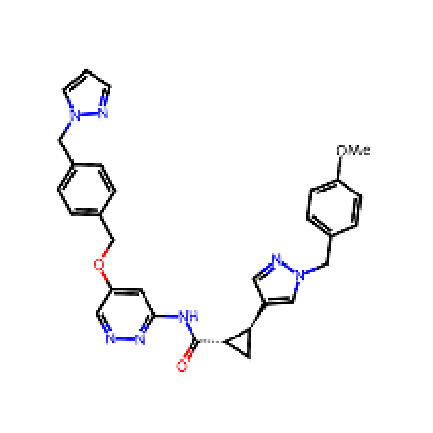 COc1ccc(Cn2cc([C@H]3C[C@@H]3C(=O)Nc3cc(OCc4ccc(Cn5cccn5)cc4)cnn3)cn2)cc1